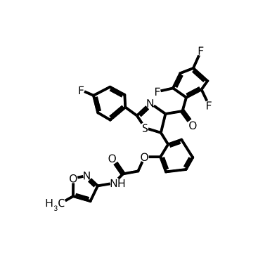 Cc1cc(NC(=O)COc2ccccc2C2SC(c3ccc(F)cc3)=NC2C(=O)c2c(F)cc(F)cc2F)no1